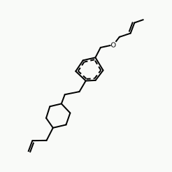 C=CCC1CCC(CCc2ccc(COCC=CC)cc2)CC1